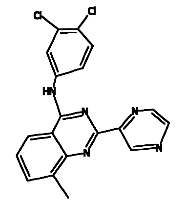 Cc1cccc2c(Nc3ccc(Cl)c(Cl)c3)nc(-c3cnccn3)nc12